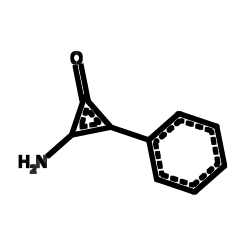 Nc1c(-c2ccccc2)c1=O